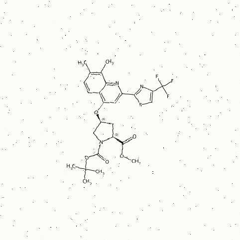 COC(=O)[C@@H]1C[C@H](Oc2cc(-c3nc(C(F)(F)F)cs3)nc3c(C)c(C)ccc23)CN1C(=O)OC(C)(C)C